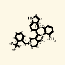 Cc1cccc(C)c1-n1nc2c(c1-c1ccc3[nH]ccc3c1)CN(Cc1ccccc1C(F)(F)F)CC2